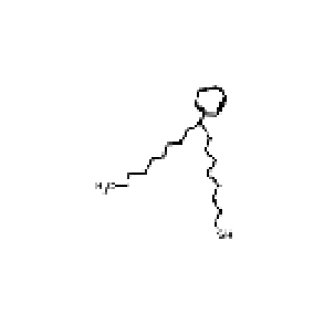 CCCCCCCCCC(CCCCCCCCS)c1ccccc1